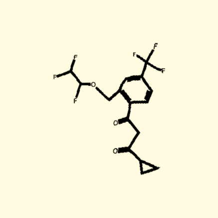 O=C(CC(=O)C1CC1)c1ccc(C(F)(F)F)cc1COC(F)C(F)F